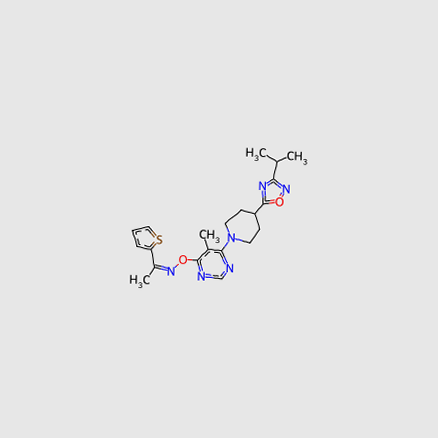 CC(=NOc1ncnc(N2CCC(c3nc(C(C)C)no3)CC2)c1C)c1cccs1